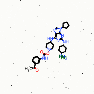 CC(=O)c1cccc(NC(=O)ON2CCC(Nc3nc(N[C@H]4CC[C@H](N)CC4)nc4c3ncn4C3CCCC3)CC2)c1.Cl.Cl